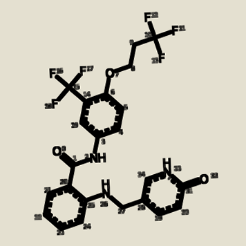 O=C(Nc1ccc(OCCC(F)(F)F)c(C(F)(F)F)c1)c1ccccc1NCc1ccc(=O)[nH]c1